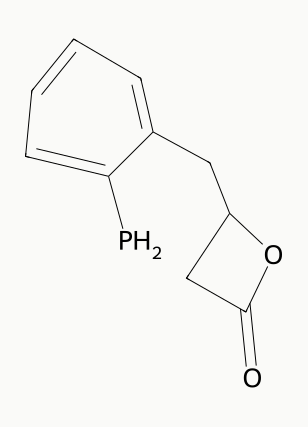 O=C1CC(Cc2ccccc2P)O1